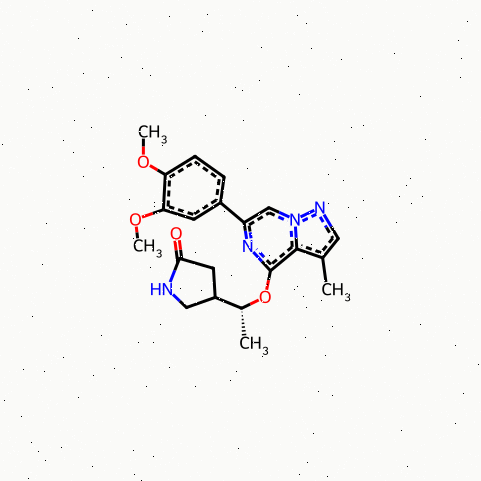 COc1ccc(-c2cn3ncc(C)c3c(O[C@H](C)C3CNC(=O)C3)n2)cc1OC